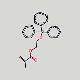 C=C(C)C(=O)OCCO[Si](c1ccccc1)(c1ccccc1)c1ccccc1